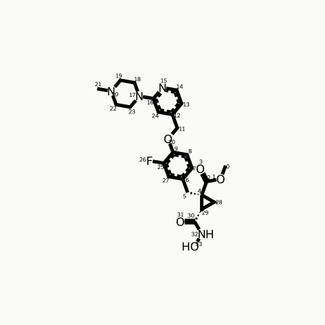 COC(=O)[C@@]1(Cc2ccc(OCc3ccnc(N4CCN(C)CC4)c3)c(F)c2)C[C@@H]1C(=O)NO